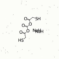 O=C(CS)OC(=O)OC(=O)CS.[NaH].[NaH]